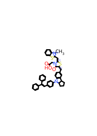 C[n+]1c(/C=c2/s/c(=C/c3ccc4c(c3)C3CCCC3N4c3ccc(C=C(c4ccccc4)c4ccccc4)cc3)c(=O)n2CC(=O)O)sc2ccccc21